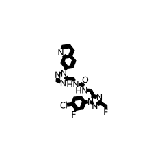 O=C(NCc1ncnn1-c1ccc2cccnc2c1)NCc1nc(CF)nn1-c1ccc(Cl)c(F)c1